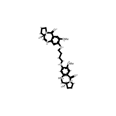 COc1cc2c(cc1OCCCCOc1cc3c(cc1OC)C(=O)N1CCC[C@H]1CN3)N=C[C@@H]1CCCN1C2=O